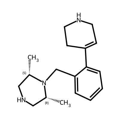 C[C@@H]1CNC[C@H](C)N1Cc1ccccc1C1=CCNCC1